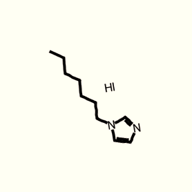 CCCCCCCn1ccnc1.I